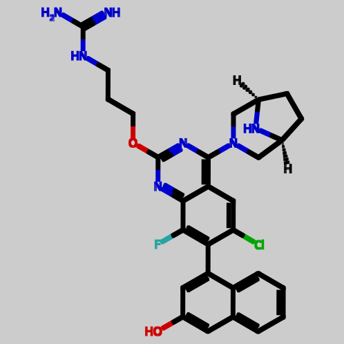 N=C(N)NCCCOc1nc(N2C[C@H]3CC[C@@H](C2)N3)c2cc(Cl)c(-c3cc(O)cc4ccccc34)c(F)c2n1